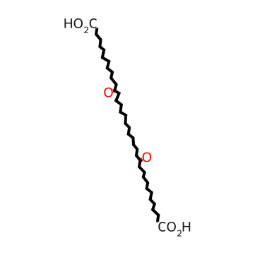 O=C(O)CCCCCCCCCCCC(=O)CCCCCCCCCCCCC(=O)CCCCCCCCCCCC(=O)O